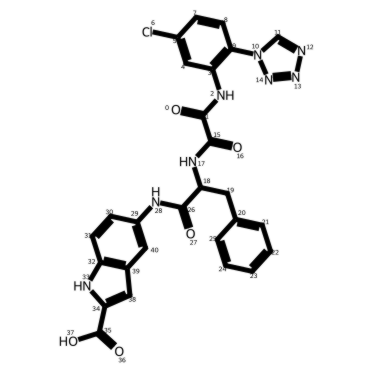 O=C(Nc1cc(Cl)ccc1-n1cnnn1)C(=O)NC(Cc1ccccc1)C(=O)Nc1ccc2[nH]c(C(=O)O)cc2c1